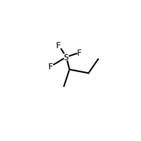 CCC(C)S(F)(F)F